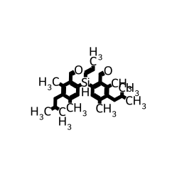 CC=C[SiH](c1cc(C)c(CC(C)C)c(C)c1C=O)c1cc(C)c(CC(C)C)c(C)c1C=O